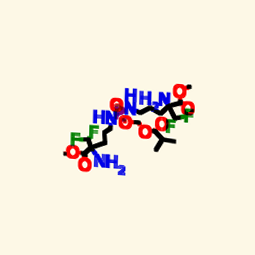 COC(=O)[C@@](N)(CCCNP(=O)(NCCC[C@](N)(C(=O)OC)C(F)F)OCOC(=O)C(C)C)C(F)F